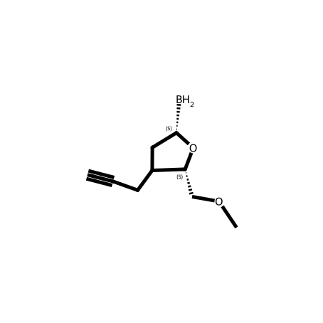 B[C@H]1CC(CC#C)[C@@H](COC)O1